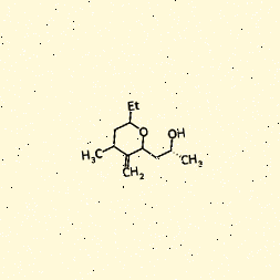 C=C1C(C)CC(CC)OC1C[C@@H](C)O